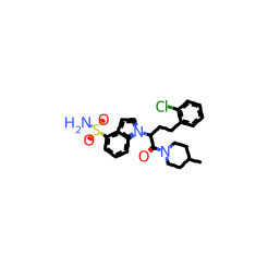 CC1CCN(C(=O)C(CCc2ccccc2Cl)n2ccc3c(S(N)(=O)=O)cccc32)CC1